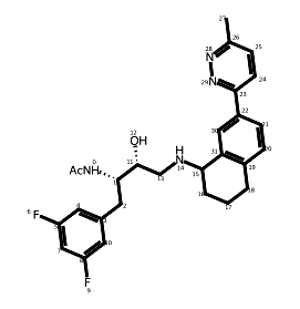 CC(=O)N[C@@H](Cc1cc(F)cc(F)c1)[C@H](O)CNC1CCCc2ccc(-c3ccc(C)nn3)cc21